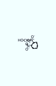 CO.O=[N+]([O-])c1ccccc1[N+](=O)[O-]